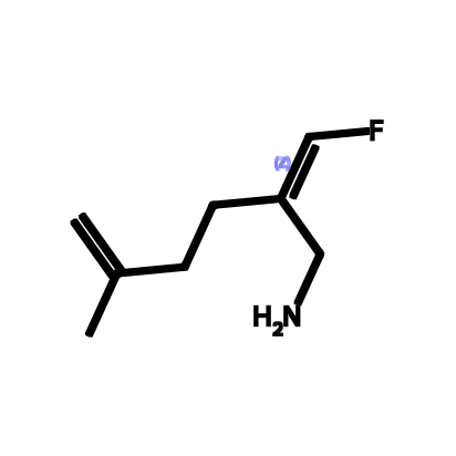 C=C(C)CC/C(=C/F)CN